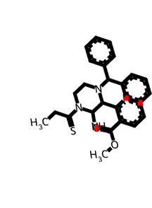 CCC(=S)N1CCN(C(c2ccccc2)c2ccccc2)C(c2ncccc2C(=O)OC)C1N